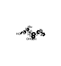 CN1CCCC1c1nnc2ccc(OC3CCC(NC(=O)Nc4cc(C(C)(C)C)nn4-c4cnn(CCO)c4)c4ccccc43)cn12.O=CO